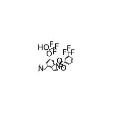 CN(C)Cc1cccc2c1ccn2S(=O)(=O)c1cccc(C(F)(F)F)c1.O=C(O)C(F)(F)F